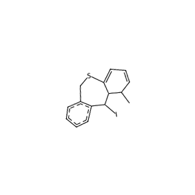 CC1C=CC=C2SCc3ccccc3C(I)C21